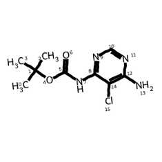 CC(C)(C)OC(=O)Nc1ncnc(N)c1Cl